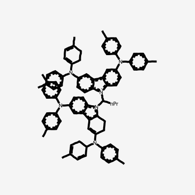 CCCC(n1c2c(c3cc(N(c4ccc(C)cc4)c4ccc(C)cc4)ccc31)C=C(N(c1ccc(C)cc1)C1C=CC(C)=CC1)CC2)n1c2ccc(N(C3=CC=C(C)CC3)c3ccc(C)cc3)cc2c2cc(N(c3ccc(C)cc3)c3ccc(C)cc3)ccc21